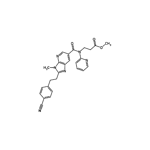 COC(=O)CCN(C(=O)c1cnc2c(c1)nc(CCc1ccc(C#N)cc1)n2C)c1ccccn1